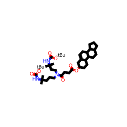 CC(C)(CCCN(CCC(C)(C)NC(=O)OC(C)(C)C)C(=O)CCC(=O)OC1CCC2C(=CCC3C4CCCC4CCC23)C1)NC(=O)OC(C)(C)C